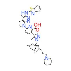 Cc1c(Nc2nc3ccccc3s2)nnc2c1CCCN2c1ccc(-c2cnn(CC34CC5(C)CC(C)(CC(CCCN6CCCCCC6)(C5)C3)C4)c2C)c(C(=O)O)n1